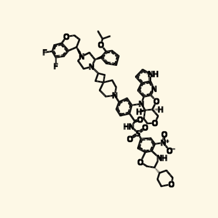 CC(C)Oc1ccccc1[C@@H]1CN([C@@H]2CCOc3cc(F)c(F)cc32)CCN1C1CC2(CCN(c3ccc(C(=O)NS(=O)(=O)c4cc5c(c([N+](=O)[O-])c4)N[C@H](C4CCOCC4)CO5)c(N4c5cc6cc[nH]c6nc5O[C@H]5COCC[C@@H]54)c3)CC2)C1